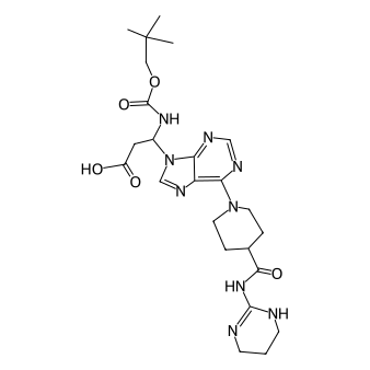 CC(C)(C)COC(=O)NC(CC(=O)O)n1cnc2c(N3CCC(C(=O)NC4=NCCCN4)CC3)ncnc21